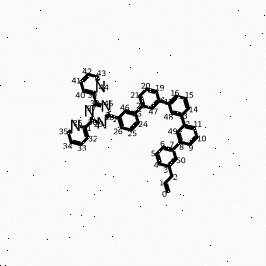 C=CCc1cccc(-c2cccc(-c3cccc(-c4cccc(-c5cccc(-c6nc(-c7ccccn7)nc(-c7ccccn7)n6)c5)c4)c3)c2)c1